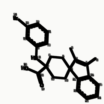 CC1=C(C)C2(CCC(Nc3cccc(Br)c3)(C(=O)O)CC2)c2ccccc21